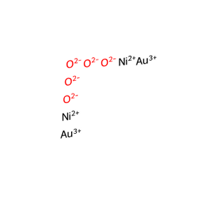 [Au+3].[Au+3].[Ni+2].[Ni+2].[O-2].[O-2].[O-2].[O-2].[O-2]